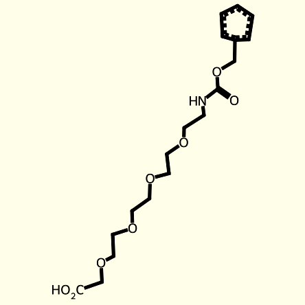 O=C(O)COCCOCCOCCOCCNC(=O)OCc1ccccc1